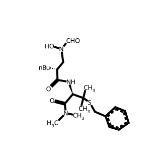 CCCC[C@H](CN(O)C=O)C(=O)N[C@H](C(=O)N(C)C)C(C)(C)SCc1ccccc1